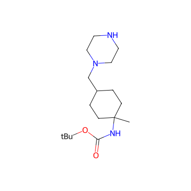 CC1(NC(=O)OC(C)(C)C)CCC(CN2CCNCC2)CC1